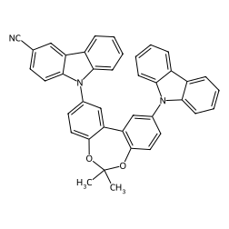 CC1(C)Oc2ccc(-n3c4ccccc4c4ccccc43)cc2-c2cc(-n3c4ccccc4c4cc(C#N)ccc43)ccc2O1